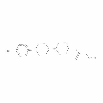 C=CCC(=O)OC1CCC([C@H]2CC[C@H](c3ccc(Cl)cc3)CC2)CC1